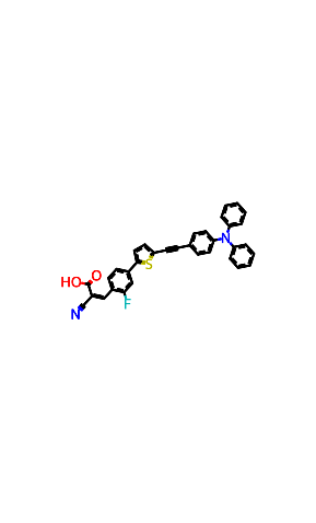 N#CC(=Cc1ccc(-c2ccc(C#Cc3ccc(N(c4ccccc4)c4ccccc4)cc3)s2)cc1F)C(=O)O